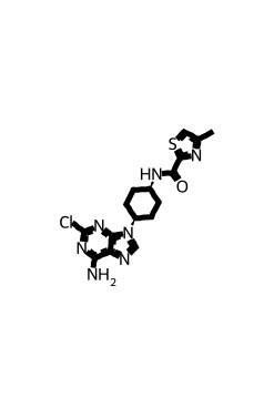 Cc1csc(C(=O)N[C@H]2CC[C@@H](n3cnc4c(N)nc(Cl)nc43)CC2)n1